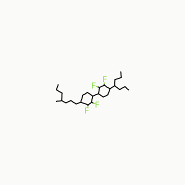 CCCC(C)CCCC1CCC(C2CCC(C(CCC)CCC)C(F)C2F)C(F)C1F